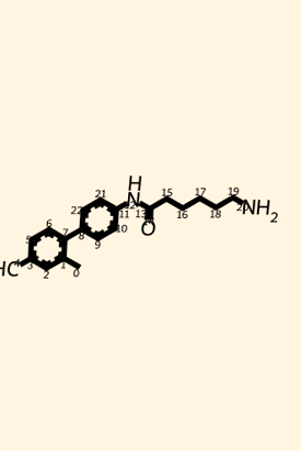 Cc1cc(C=O)ccc1-c1ccc(NC(=O)CCCCCN)cc1